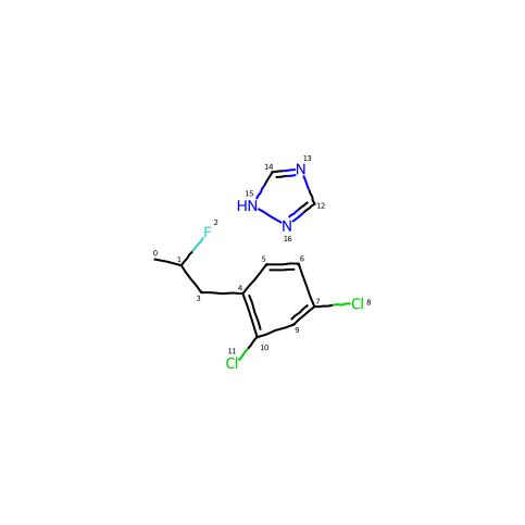 CC(F)Cc1ccc(Cl)cc1Cl.c1nc[nH]n1